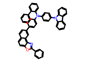 c1ccc(-c2nc3c(ccc4ccc(-c5ccc(N(c6ccc(-n7c8ccccc8c8ccccc87)cc6)c6ccccc6-c6ccccc6)cc5)cc43)o2)cc1